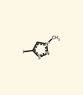 C[n+]1cc(I)sn1